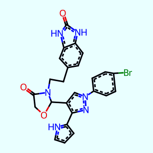 O=C1COC(c2cn(-c3ccc(Br)cc3)nc2-c2ccc[nH]2)N1CCc1ccc2[nH]c(=O)[nH]c2c1